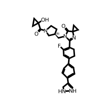 O=C(N1CC[C@@H](CN2C(=O)C3(CC3)N=C2C2=C(F)C=C(c3ccc(C4=CNNC4)cc3)CC2)C1)C1(O)CC1